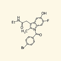 CCNC(=O)Cc1c(C)n(C(=O)c2ccc(Br)cc2)c2cc(F)c(O)cc12